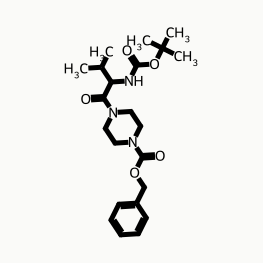 CC(C)C(NC(=O)OC(C)(C)C)C(=O)N1CCN(C(=O)OCc2ccccc2)CC1